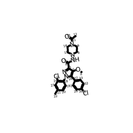 COc1c(C(=O)NN2CCN(C(C)=O)CC2)nn(-c2ccc(C)cc2Cl)c1-c1ccc(Cl)cc1